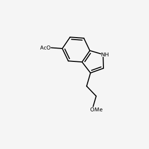 COCCc1c[nH]c2ccc(OC(C)=O)cc12